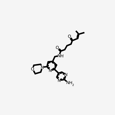 CC(C)=CC(=O)CCCC(=O)NCc1cc(-c2cnc(N)nc2)nc(N2CCOCC2)c1